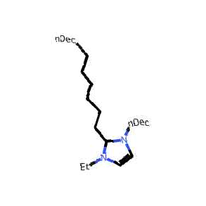 CCCCCCCCCCCCCCCCC1N(CC)C=CN1CCCCCCCCCC